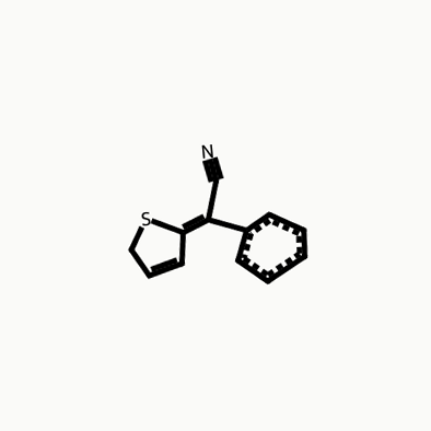 N#CC(=C1C=CCS1)c1ccccc1